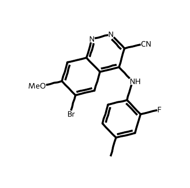 COc1cc2nnc(C#N)c(Nc3ccc(C)cc3F)c2cc1Br